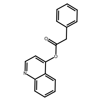 O=C(Cc1ccccc1)Oc1ccnc2ccccc12